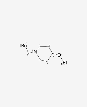 CCOC1CCN(CC(C)(C)C)CC1